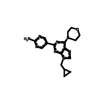 Nc1ncc(-c2nc(N3CCOCC3)c3ncn(CC4CC4)c3n2)cn1